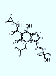 CC(C)Cn1c(=O)c(C(=O)NC2CC2)c(O)n2ncc(/C=C/C(C)(C)O)c12